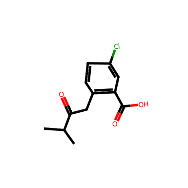 CC(C)C(=O)Cc1ccc(Cl)cc1C(=O)O